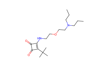 CCCN(CCC)CCOCCNc1c(C(C)(C)C)c(=O)c1=O